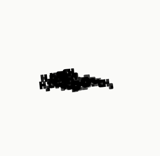 C=C(OC)[C@@H](C)CCCN(Cc1ccc(-c2ccc(CCCC)cc2)cc1)C(=O)OC(C)(C)C